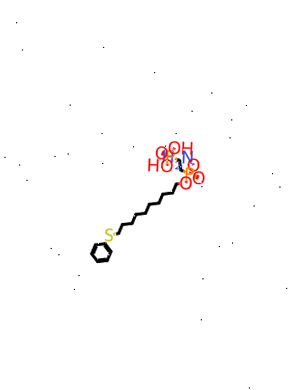 NOP(=O)(CCP(=O)(O)O)OCCCCCCCCCCSc1ccccc1